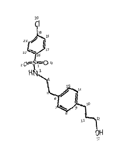 O=S(=O)(NCCc1ccc(CCCO)cc1)c1ccc(Cl)cc1